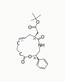 CC(C)(C)OC(=O)C[C@@H]1C/C=C/CCCC(=O)O[C@H](c2ccccc2)CNC1=O